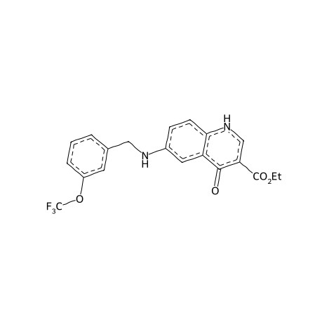 CCOC(=O)c1c[nH]c2ccc(NCc3cccc(OC(F)(F)F)c3)cc2c1=O